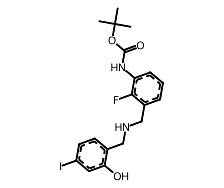 CC(C)(C)OC(=O)Nc1cccc(CNCc2ccc(I)cc2O)c1F